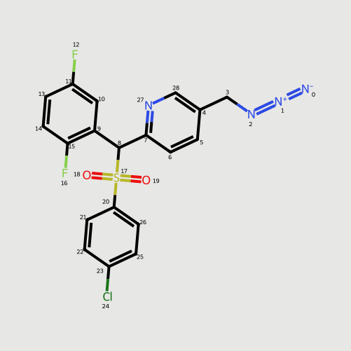 [N-]=[N+]=NCc1ccc(C(c2cc(F)ccc2F)S(=O)(=O)c2ccc(Cl)cc2)nc1